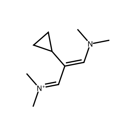 CN(C)/C=C(/C=[N+](C)C)C1CC1